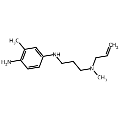 C=CCN(C)CCCNc1ccc(N)c(C)c1